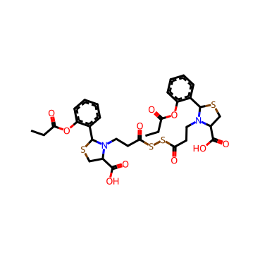 CCC(=O)Oc1ccccc1C1SCC(C(=O)O)N1CCC(=O)SSC(=O)CCN1C(C(=O)O)CSC1c1ccccc1OC(=O)CC